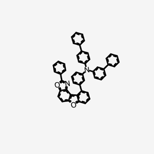 c1ccc(-c2ccc(N(c3cccc(-c4ccccc4)c3)c3cccc(-c4cccc5oc6ccc7oc(-c8ccccc8)nc7c6c45)c3)cc2)cc1